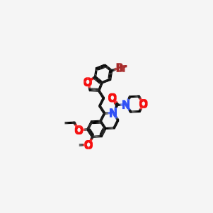 CCOc1cc2c(cc1OC)CCN(C(=O)N1CCOCC1)C2CCc1coc2ccc(Br)cc12